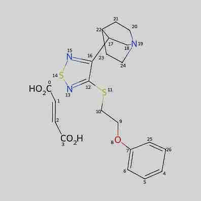 O=C(O)C=CC(=O)O.c1ccc(OCCSc2nsnc2C2CN3CCC2CC3)cc1